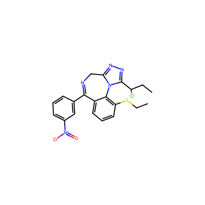 CCSc1cccc2c1-n1c(nnc1C(Cl)CC)CN=C2c1cccc([N+](=O)[O-])c1